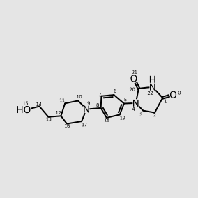 O=C1CCN(c2ccc(N3CCC(CCO)CC3)cc2)C(=O)N1